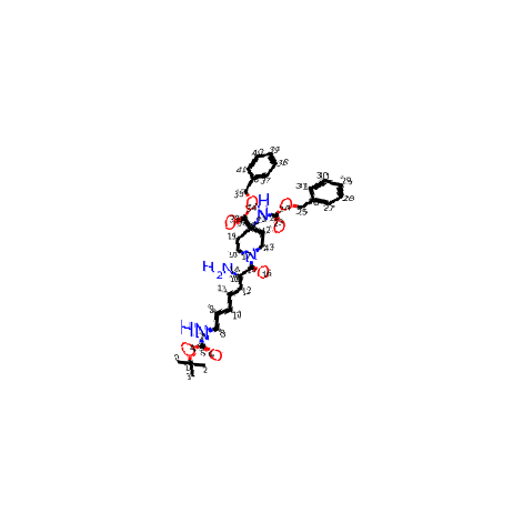 CC(C)(C)OC(=O)NCCCCC[C@@H](N)C(=O)N1CCC(NC(=O)OCc2ccccc2)(C(=O)OCc2ccccc2)CC1